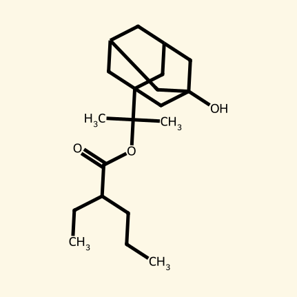 CCCC(CC)C(=O)OC(C)(C)C12CC3CC(CC(O)(C3)C1)C2